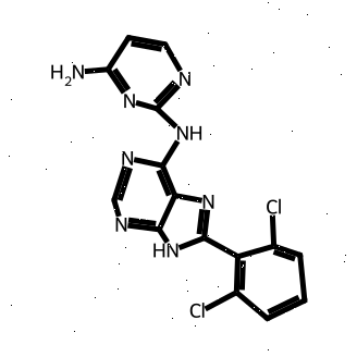 Nc1ccnc(Nc2ncnc3[nH]c(-c4c(Cl)cccc4Cl)nc23)n1